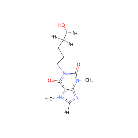 [2H]c1nc2c(c(=O)n(CCCC([2H])([2H])[C@@H]([2H])O)c(=O)n2C)n1C